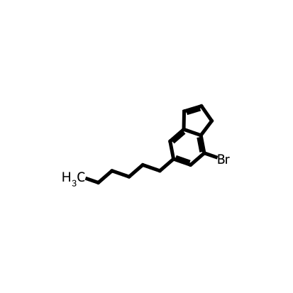 CCCCCCc1cc(Br)c2c(c1)C=CC2